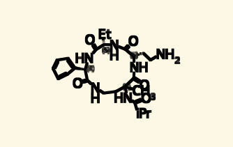 CC[C@@H]1NC(=O)[C@H](CCN)NC(=O)[C@](C)(NC(=O)C(C)C)CCNC(=O)[C@@H](c2ccccc2)NC1=O